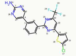 Nc1ncc(-c2cccc(-c3nc(-c4ccc(Cl)s4)cc(C(F)(F)F)n3)c2)cn1